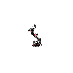 CN[C@@H](C)C(=O)N[C@@H](C)C(=O)N1CC(NC(=O)CCN2CC[C@]3(CCN(CCOCCNc4cc(N5CCC6(CC5)CN(c5cc(F)c(CN7CCC(C)(C)CC7)cc5F)CC(=O)N6)ncn4)C3)C2)C[C@H]1C(=O)N[C@H]1CCCc2ccccc21